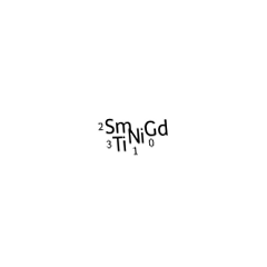 [Gd].[Ni].[Sm].[Ti]